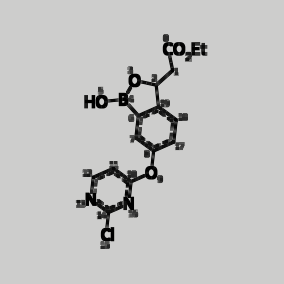 CCOC(=O)CC1OB(O)c2cc(Oc3ccnc(Cl)n3)ccc21